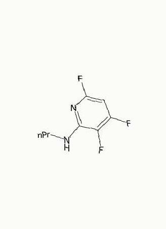 CCCNc1nc(F)cc(F)c1F